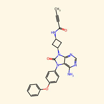 CC#CC(=O)N[C@H]1C[C@@H](n2c(=O)n(-c3ccc(Oc4ccccc4)cc3)c3c(N)ncnc32)C1